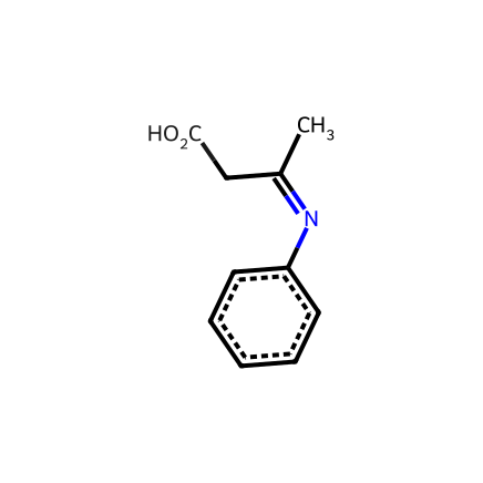 C/C(CC(=O)O)=N/c1ccccc1